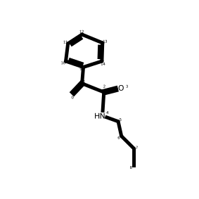 C=C(C(=O)NCCCC)c1ccccc1